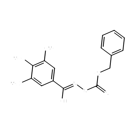 COc1cc(C(C)=NNC(=N)NCc2ccccc2)cc(OC)c1OC